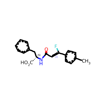 Cc1ccc(/C(F)=C/C(=O)N[C@@H](Cc2ccccc2)C(=O)O)cc1